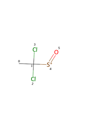 CC(Cl)(Cl)[S+]=O